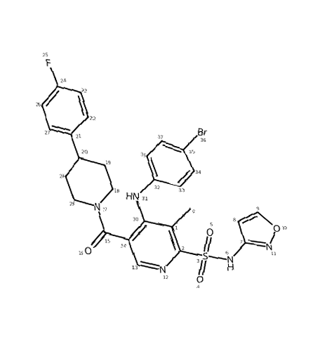 Cc1c(S(=O)(=O)Nc2ccon2)ncc(C(=O)N2CCC(c3ccc(F)cc3)CC2)c1Nc1ccc(Br)cc1